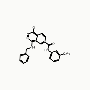 COc1cccc(NC(=O)c2ccc3c(Cl)nnc(NCc4ccccc4)c3c2)c1